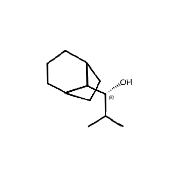 CC(C)[C@@H](O)C1C2CCCC1CC2